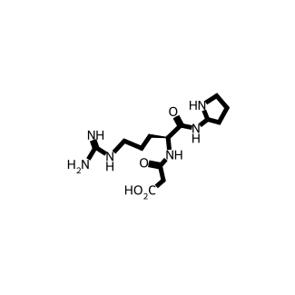 N=C(N)NCCC[C@H](NC(=O)CC(=O)O)C(=O)NC1CCCN1